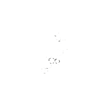 O=P(O)(O)CP(=O)(O)NC[C@H]1O[C@@H](n2cnc3c(NC4CN5CCN4CC5)nc(Cl)nc32)C(O)C1O